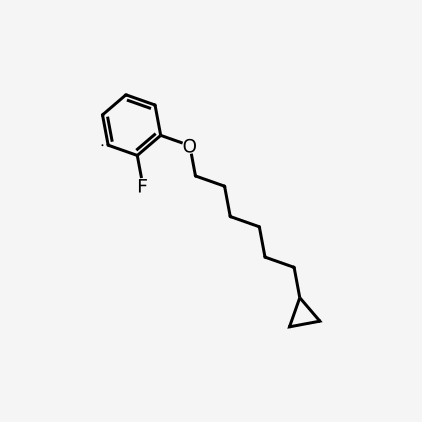 Fc1[c]cccc1OCCCCCCC1CC1